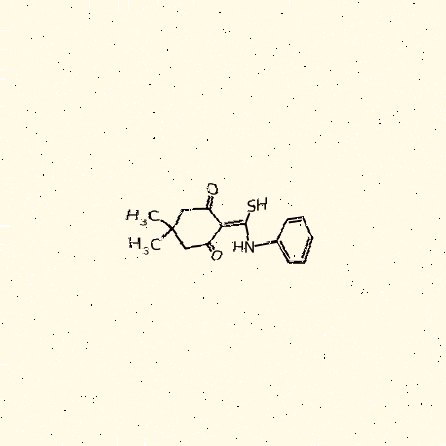 CC1(C)CC(=O)C(=C(S)Nc2ccccc2)C(=O)C1